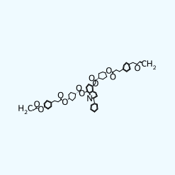 C=CC(=O)Cc1ccc(CCC(=O)O[C@H]2CC[C@H](C(=O)Oc3ccc(OC(=O)[C@H]4CC[C@H](OC(=O)CCc5ccc(OC(=O)C=C)cc5)CC4)c4nc(-c5ccccc5)ccc34)CC2)cc1